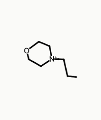 CCC[N+]1CCOCC1